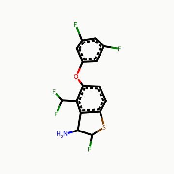 NC1c2c(ccc(Oc3cc(F)cc(F)c3)c2C(F)F)SC1F